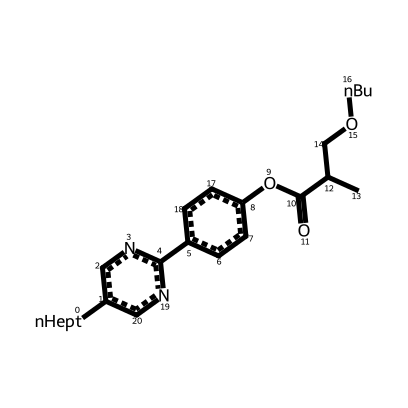 CCCCCCCc1cnc(-c2ccc(OC(=O)C(C)COCCCC)cc2)nc1